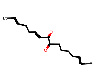 CCC=CCCC=CC(=O)C(=O)CCCCC=CCC